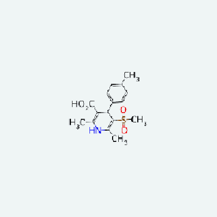 CC1=C(C(=O)O)C(c2ccc(C)cc2)C(S(C)(=O)=O)=C(C)N1